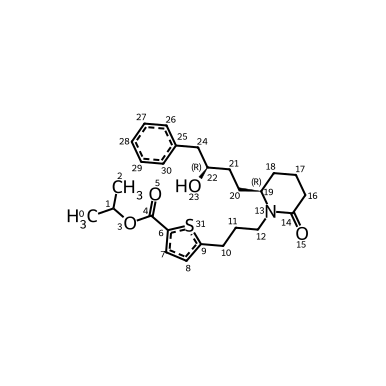 CC(C)OC(=O)c1ccc(CCCN2C(=O)CCC[C@@H]2CC[C@@H](O)Cc2ccccc2)s1